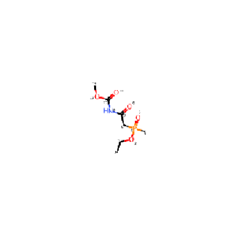 CCOP(C)(=O)CC(=O)NC(=O)OC